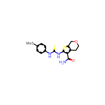 CSc1ccc(NC(=S)Nc2sc3c(c2C(N)=O)CCOC3)cc1